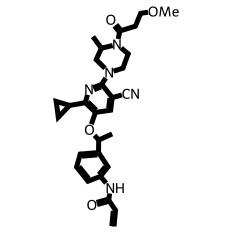 C=CC(=O)Nc1cccc(C(C)Oc2cc(C#N)c(N3CCN(C(=O)CCOC)C(C)C3)nc2C2CC2)c1